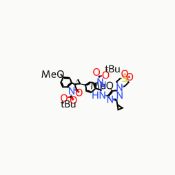 COc1ccc2c(c1)[C@]1(C[C@H]1c1ccc3c(Nc4nc(C5CC5)nc(N5CCS(=O)(=O)CC5)c4OC)nn(C(=O)OC(C)(C)C)c3c1)C(=O)N2C(=O)OC(C)(C)C